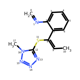 C=Nc1ccccc1/C(=C\C)Sc1nnnn1C